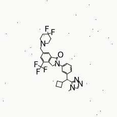 Cn1cnnc1C(c1cccc(N2Cc3c(cc(CN4CCC(F)(F)CC4)cc3C(F)(F)F)C2=O)c1)C1CCC1